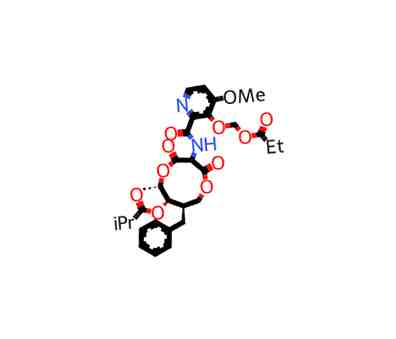 CCC(=O)OCOc1c(OC)ccnc1C(=O)NC1C(=O)OC[C@@H](Cc2ccccc2)[C@@H](OC(=O)C(C)C)[C@H](C)OC1=O